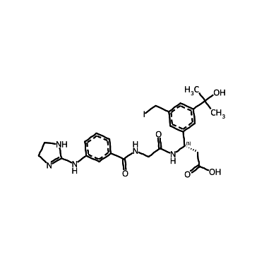 CC(C)(O)c1cc(CI)cc([C@H](CC(=O)O)NC(=O)CNC(=O)c2cccc(NC3=NCCN3)c2)c1